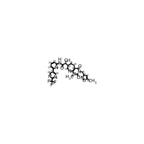 Cc1cc(Cn2c(=O)c3c(n(C)c2=O)N=CC([C@@H](C)C(=O)Nc2cccc(-c4cnc(C(F)(F)F)nc4)n2)CC3)no1